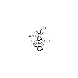 CC(=O)N[C@H]1[C@H]([C@H](O)[C@H](O)CO)OC(C(=O)O)=C[C@@H]1NS(=O)(=O)Cc1ccccc1[N+](=O)[O-]